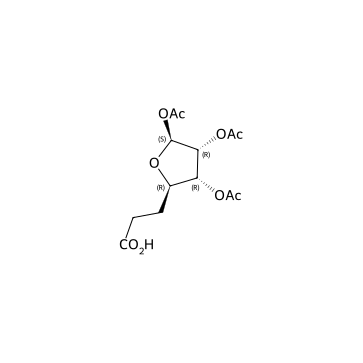 CC(=O)O[C@@H]1O[C@H](CCC(=O)O)[C@@H](OC(C)=O)[C@H]1OC(C)=O